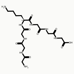 NCCCC[C@H](NC(=O)CNC(=O)CNC(=O)CN)C(=O)NCC(=O)NCC(=O)NCC(=O)O